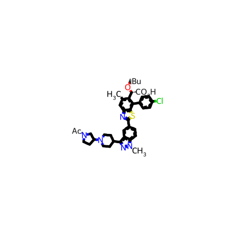 CC(=O)N1CCC(N2CCC(c3nn(C)c4ccc(-c5nc6cc(C)c([C@H](OC(C)(C)C)C(=O)O)c(-c7ccc(Cl)cc7)c6s5)cc34)CC2)C1